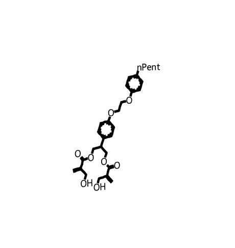 C=C(CO)C(=O)OCC(COC(=O)C(=C)CO)c1ccc(OCCOc2ccc(CCCCC)cc2)cc1